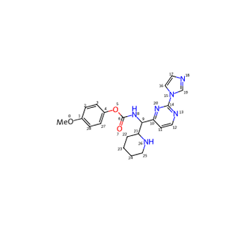 COc1ccc(OC(=O)NC(c2ccnc(-n3ccnc3)n2)C2CCCCN2)cc1